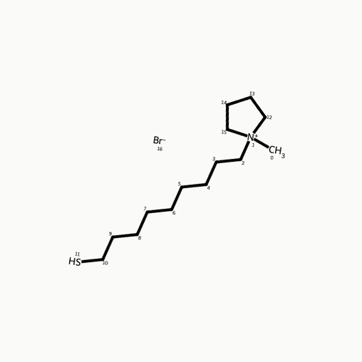 C[N+]1(CCCCCCCCCS)CCCC1.[Br-]